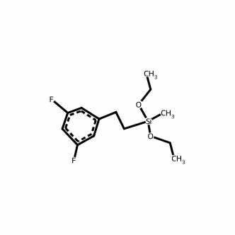 CCO[Si](C)(CCc1cc(F)cc(F)c1)OCC